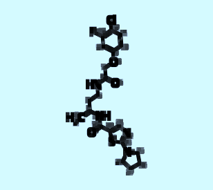 C=C(CCNC(=O)COc1ccc(Cl)c(F)c1)NC(=O)c1cnc(N2CCCC2)s1